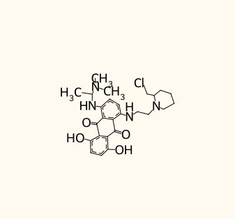 CC(Nc1ccc(NCCN2CCCCC2CCl)c2c1C(=O)c1c(O)ccc(O)c1C2=O)N(C)C